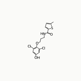 Cc1ccc(C(=O)NCCCOc2c(Cl)cc(O)cc2Cl)s1